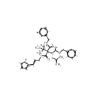 CC(C)C[C@@H](C(=O)OCc1ccccc1)C(C(=O)OCC=Cc1cccs1)(C(=O)OCc1ccccc1)C(C)(C)C